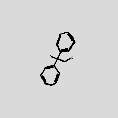 [K][CH2][C]([K])(c1ccccc1)c1ccccc1